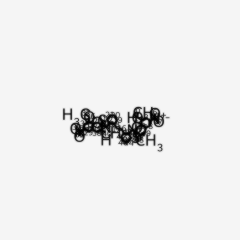 COc1cc([N+](=O)[O-])cc2c1OC1(Nc3c(CCc4cccc5c4NC4(Oc6c(cc([N+](=O)[O-])cc6OC)C=C4C)S5)cccc3S1)C(C)=C2